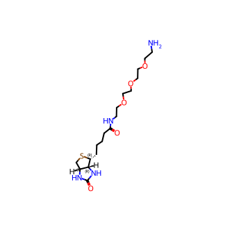 NCCOCCOCCOCCNC(=O)CCCC[C@H]1SC[C@H]2NC(=O)N[C@H]21